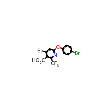 CCc1cc(Oc2ccc(Br)cc2)nc(C(F)(F)F)c1C(=O)O